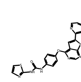 O=C(Nc1ccc(Oc2ncnc3[nH]c(-c4ccccn4)cc23)cc1)Nc1nccs1